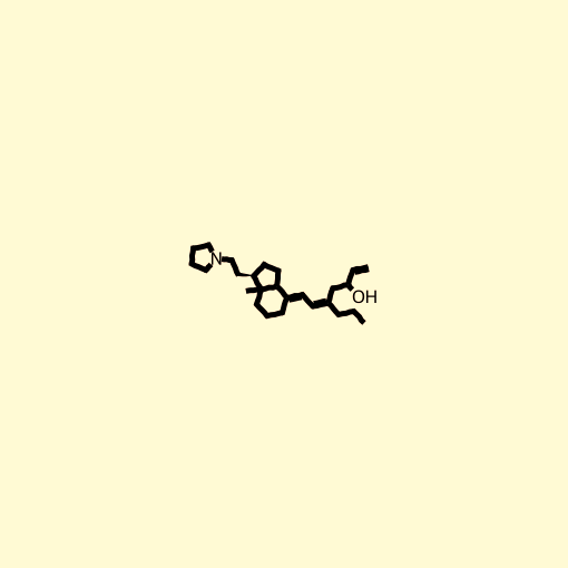 C=CC(O)C/C(=C\C=C1/CCCC2(C)C1CC[C@@H]2CCN1CCCC1)CCC